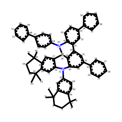 CC1(C)CCC(C)(C)c2cc(N3c4cc5c(cc4B4c6c(cc(-c7ccccc7)cc63)-c3cc(-c6ccccc6)ccc3N4c3ccc(-c4ccccc4)cc3)C(C)(C)CCC5(C)C)ccc21